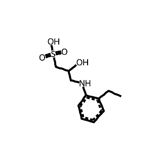 CCc1ccccc1NCC(O)CS(=O)(=O)O